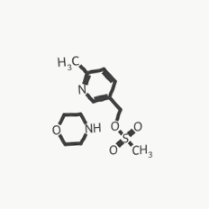 C1COCCN1.Cc1ccc(COS(C)(=O)=O)cn1